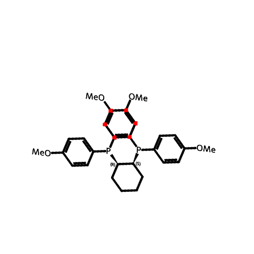 COc1ccc(P(c2ccc(OC)cc2)[C@@H]2CCCC[C@@H]2P(c2ccc(OC)cc2)c2ccc(OC)cc2)cc1